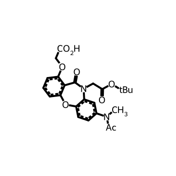 CC(=O)N(C)c1ccc2c(c1)N(CC(=O)OC(C)(C)C)C(=O)c1c(OCC(=O)O)cccc1O2